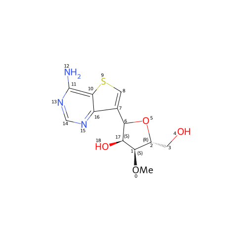 CO[C@@H]1[C@@H](CO)OC(c2csc3c(N)ncnc23)[C@@H]1O